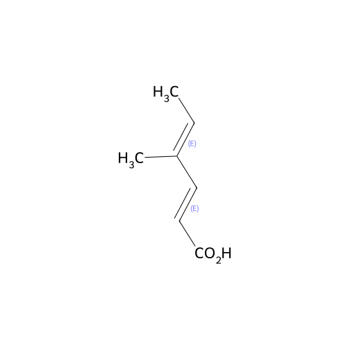 C/C=C(C)/C=C/C(=O)O